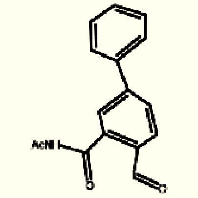 CC(=O)NC(=O)c1cc(-c2ccccc2)ccc1I=O